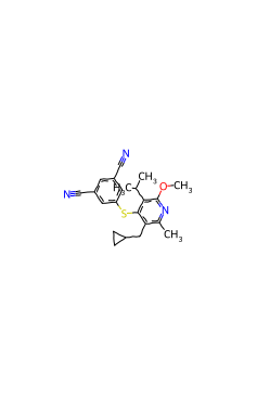 COc1nc(C)c(CC2CC2)c(Sc2cc(C#N)cc(C#N)c2)c1C(C)C